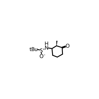 C[C@H]1C(=O)CCCC1N[S+]([O-])C(C)(C)C